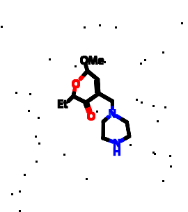 CCC1OC(OC)C=C(CN2CCNCC2)C1=O